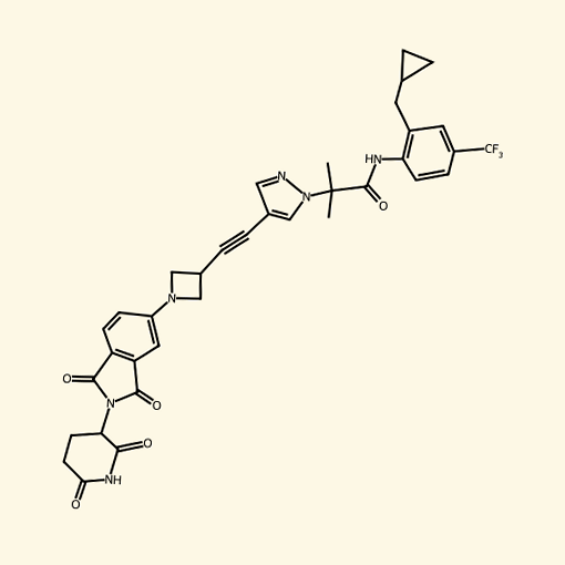 CC(C)(C(=O)Nc1ccc(C(F)(F)F)cc1CC1CC1)n1cc(C#CC2CN(c3ccc4c(c3)C(=O)N(C3CCC(=O)NC3=O)C4=O)C2)cn1